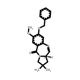 COc1cc2c(cc1OCc1ccccc1)N=C[C@@H]1CC(C)(C)CN1C2=O